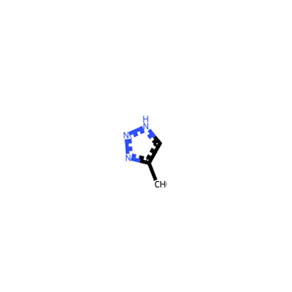 [CH]c1c[nH]nn1